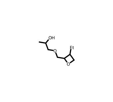 CCC1COC1COCC(C)O